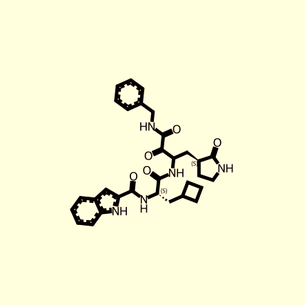 O=C(NCc1ccccc1)C(=O)C(C[C@@H]1CCNC1=O)NC(=O)[C@H](CC1CCC1)NC(=O)c1cc2ccccc2[nH]1